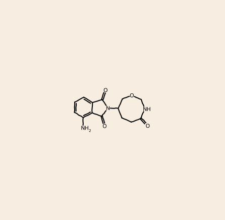 Nc1cccc2c1C(=O)N(C1CCC(=O)NCOC1)C2=O